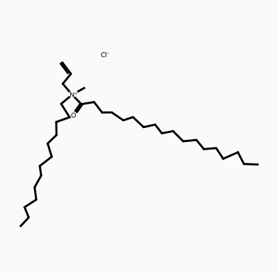 C=CC[N+](C)(CCCCCCCCCCCCC)C(=O)CCCCCCCCCCCCCCCCC.[Cl-]